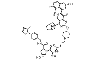 C#Cc1c(F)ccc2cc(O)cc(-c3ncc4c(N5CC6CCC(C5)N6)nc(OC5CCN(CCCC(=O)NC(C(=O)N6C[C@H](O)CC6C(=O)NCc6ccc(-c7scnc7C)cc6)C(C)(C)C)CC5)nc4c3F)c12